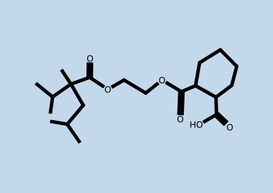 CC(C)CC(C)(C(=O)OCCOC(=O)C1CCCCC1C(=O)O)C(C)C